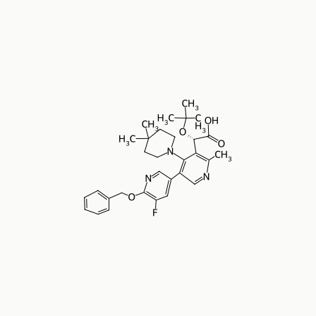 Cc1ncc(-c2cnc(OCc3ccccc3)c(F)c2)c(N2CCC(C)(C)CC2)c1[C@H](OC(C)(C)C)C(=O)O